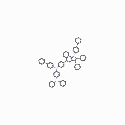 c1ccc(-c2ccc(N(c3ccc(-c4cc5c(-c6ccccc6)c(-c6ccccc6)n(-c6ccc(-c7ccccc7)cc6)c5c5ccccc45)cc3)c3ccc(N(c4ccccc4)c4ccccc4)cc3)cc2)cc1